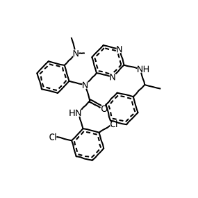 CC(Nc1nccc(N(C(=O)Nc2c(Cl)cccc2Cl)c2ccccc2N(C)C)n1)c1ccccc1